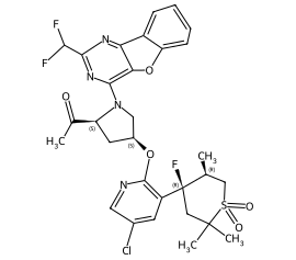 CC(=O)[C@@H]1C[C@H](Oc2ncc(Cl)cc2[C@@]2(F)CC(C)(C)S(=O)(=O)C[C@@H]2C)CN1c1nc(C(F)F)nc2c1oc1ccccc12